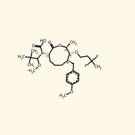 COc1ccc(C[C@H]2CCC[C@H](N(C(=O)O)C(OC)C(C)(C)C)C(=O)O[C@@H](C)[C@@H]2OCCC(C)(F)F)cc1